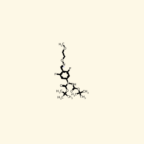 COCCO/N=C/c1c(F)cc(N(NC(=O)OC(C)(C)C)C(=O)OC(C)(C)C)cc1F